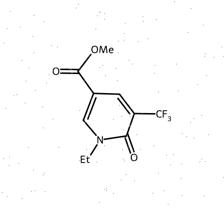 CCn1cc(C(=O)OC)cc(C(F)(F)F)c1=O